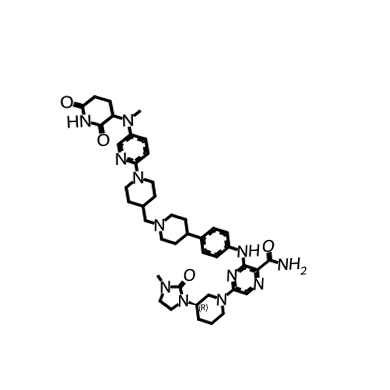 CN1CCN([C@@H]2CCCN(c3cnc(C(N)=O)c(Nc4ccc(C5CCN(CC6CCN(c7ccc(N(C)C8CCC(=O)NC8=O)cn7)CC6)CC5)cc4)n3)C2)C1=O